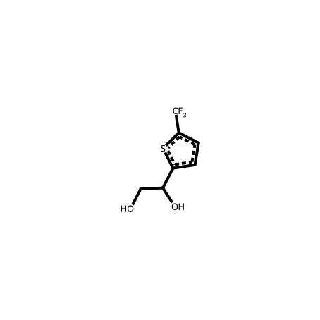 OCC(O)c1ccc(C(F)(F)F)s1